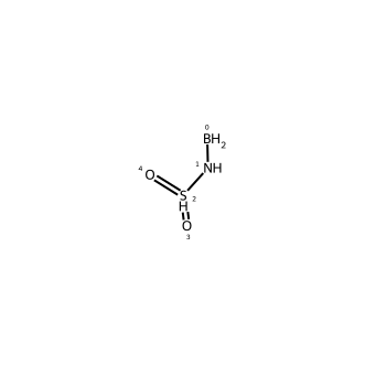 BN[SH](=O)=O